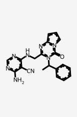 CC(c1ccccc1)n1c(CNc2ncnc(N)c2C#N)nc2cccn2c1=O